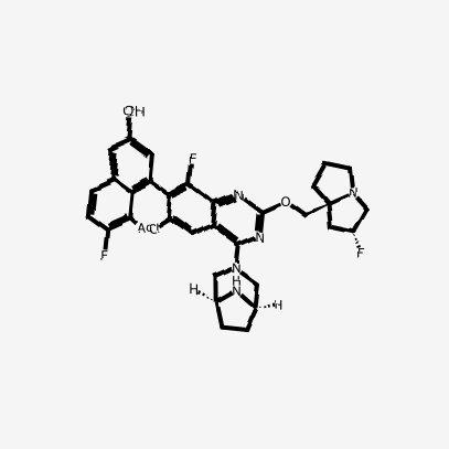 CC(=O)c1c(F)ccc2cc(O)cc(-c3c(Cl)cc4c(N5C[C@H]6CC[C@@H](C5)N6)nc(OC[C@@]56CCCN5C[C@H](F)C6)nc4c3F)c12